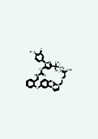 CC(C)(C)c1cc(NC(=O)NCc2ccccc2Oc2ccc3c(c2)N2C=CN(CSCC(=O)O)C2S3)n(-c2ccc(O)c(Cl)c2)n1